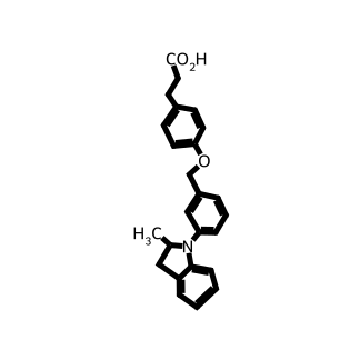 CC1Cc2ccccc2N1c1cccc(COc2ccc(CCC(=O)O)cc2)c1